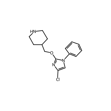 Clc1cn(-c2ccccc2)c(OCC2CCNCC2)n1